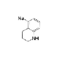 [Na][c]1cccc2c1CCCN2